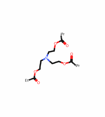 CCC(=O)OCCN(CCOC(=O)C(C)C)CCOC(=O)C(C)C